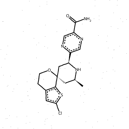 C[C@H]1C[C@@]2(C[C@@H](c3cnc(C(N)=O)cn3)N1)OCCc1cc(Cl)sc12